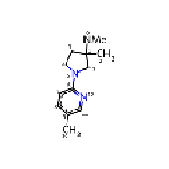 CNC1(C)CCN(c2ccc(C)cn2)C1